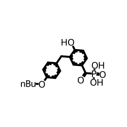 CCCCOc1ccc(Cc2cc(C(=O)P(=O)(O)O)ccc2O)cc1